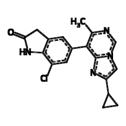 Cc1ncn2cc(C3CC3)nc2c1-c1cc(Cl)c2c(c1)CC(=O)N2